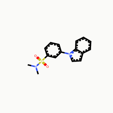 CN(C)S(=O)(=O)c1cccc(-n2ccc3c[c]ccc32)c1